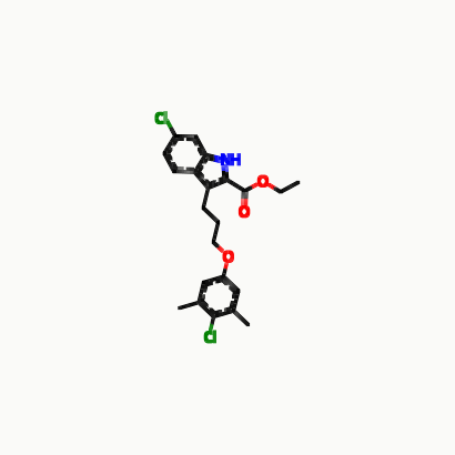 CCOC(=O)c1[nH]c2cc(Cl)ccc2c1CCCOc1cc(C)c(Cl)c(C)c1